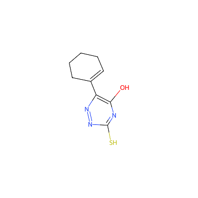 Oc1nc(S)nnc1C1=CCCCC1